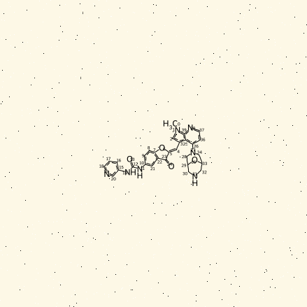 Cn1cc(C=C2Oc3ccc(NC(=O)Nc4cccnc4)cc3C2=O)c2c(N3CC4CNCC(C3)O4)ccnc21